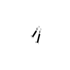 [C]F.[C]F